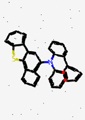 c1ccc(-c2ccccc2N(c2ccccc2)c2cc3c4ccccc4sc3c3ccccc23)cc1